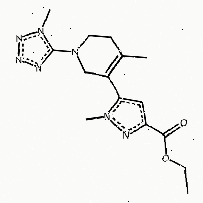 CCOC(=O)c1cc(C2=C(C)CCN(c3nnnn3C)C2)n(C)n1